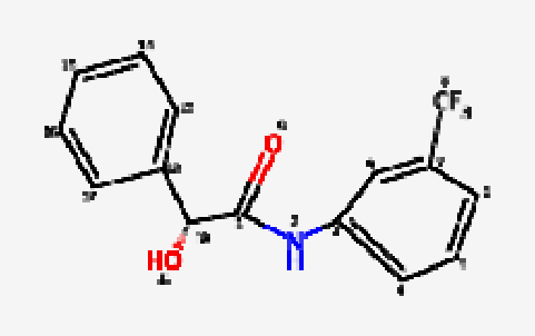 O=C(Nc1cccc(C(F)(F)F)c1)[C@H](O)c1ccccc1